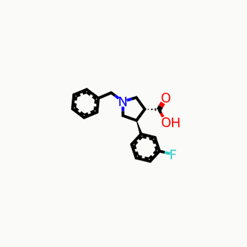 O=C(O)[C@H]1CN(Cc2ccccc2)C[C@@H]1c1cccc(F)c1